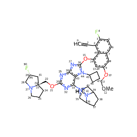 C#Cc1c(F)ccc2cc(OCOC)cc(Oc3nc4nc(OC[C@@]56CCCN5C[C@H](F)C6)nc(N5CC6CCC(C5)N6C)c4n3C3CCC3)c12